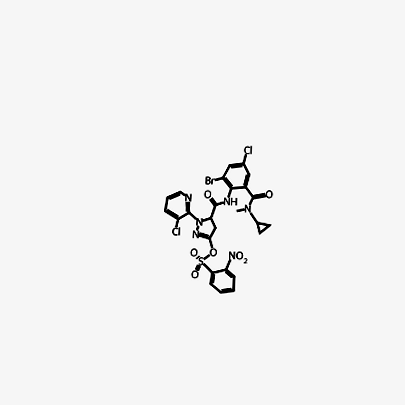 CN(C(=O)c1cc(Cl)cc(Br)c1NC(=O)C1CC(OS(=O)(=O)c2ccccc2[N+](=O)[O-])=NN1c1ncccc1Cl)C1CC1